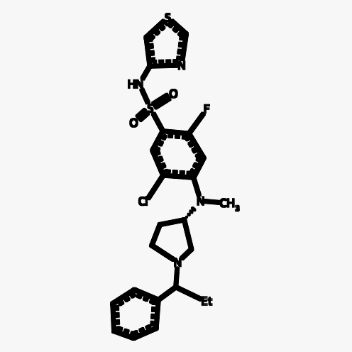 CCC(c1ccccc1)N1CC[C@H](N(C)c2cc(F)c(S(=O)(=O)Nc3cscn3)cc2Cl)C1